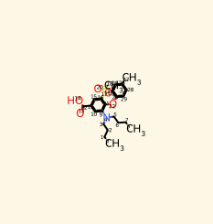 CCCCN(CCCC)c1cc(C(=O)O)cc(S(C)(=O)=O)c1Oc1ccc(C)cc1